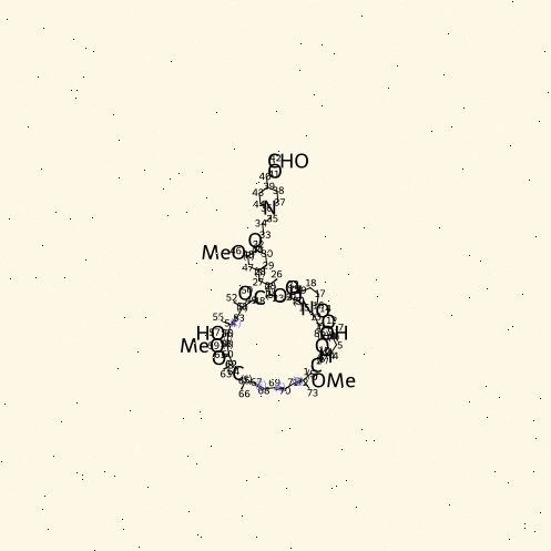 CO[C@H]1C[C@@H]2CC[C@@H](C)[C@@](O)(O2)C(=O)C(=O)N2CCCC[C@H]2C(=O)O[C@H]([C@H](C)C[C@@H]2CC[C@@H](OCCCN3CCC(COC=O)CC3)[C@H](OC)C2)CC(=O)[C@H](C)/C=C(\C)[C@@H](O)[C@@H](OC)C(=O)[C@H](C)C[C@H](C)/C=C/C=C/C=C/1C